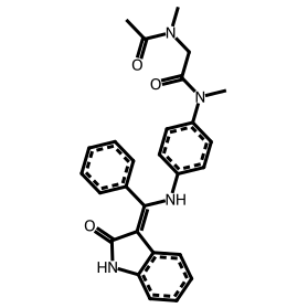 CC(=O)N(C)CC(=O)N(C)c1ccc(NC(=C2C(=O)Nc3ccccc32)c2ccccc2)cc1